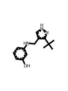 CC(C)(C)c1n[nH]cc1CNc1cccc(O)c1